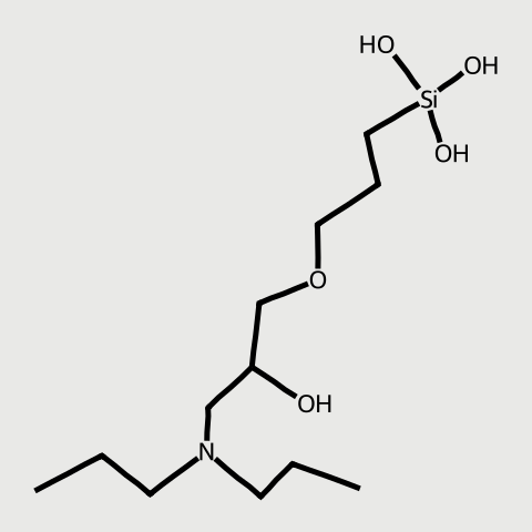 CCCN(CCC)CC(O)COCCC[Si](O)(O)O